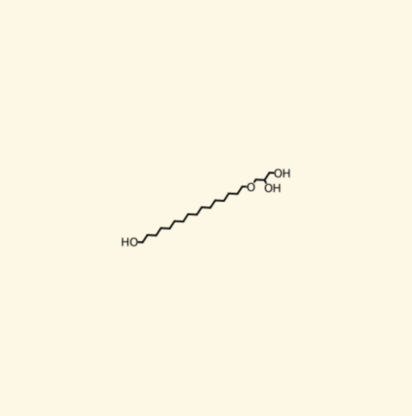 OCCCCCCCCCCCCCCCCOCC(O)CO